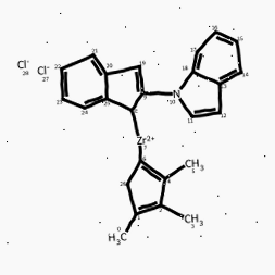 CC1=C(C)C(C)=[C]([Zr+2][CH]2C(n3ccc4ccccc43)=Cc3ccccc32)C1.[Cl-].[Cl-]